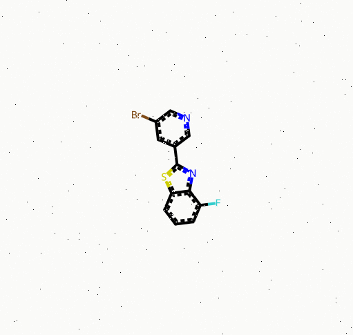 Fc1cccc2sc(-c3cncc(Br)c3)nc12